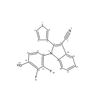 N#Cc1c(-c2ccsc2)n(-c2ccc(O)c(F)c2F)c2ccccc12